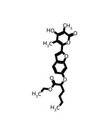 CCCCC(Oc1ccc2cc(-c3oc(=O)c(C)c(O)c3C)oc2c1)C(=O)OCC